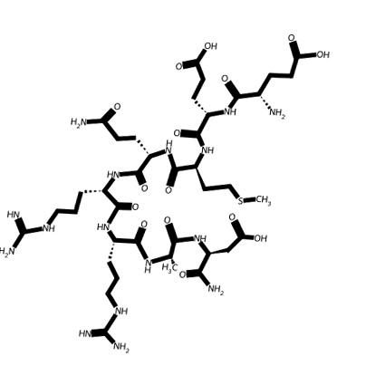 CSCC[C@H](NC(=O)[C@H](CCC(=O)O)NC(=O)[C@@H](N)CCC(=O)O)C(=O)N[C@@H](CCC(N)=O)C(=O)N[C@@H](CCCNC(=N)N)C(=O)N[C@@H](CCCNC(=N)N)C(=O)N[C@@H](C)C(=O)N[C@@H](CC(=O)O)C(N)=O